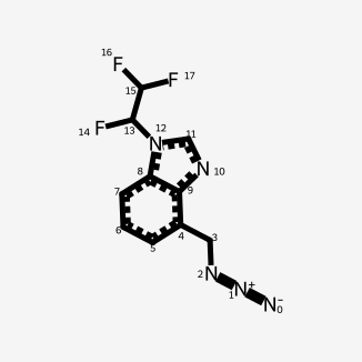 [N-]=[N+]=NCc1cccc2c1ncn2C(F)C(F)F